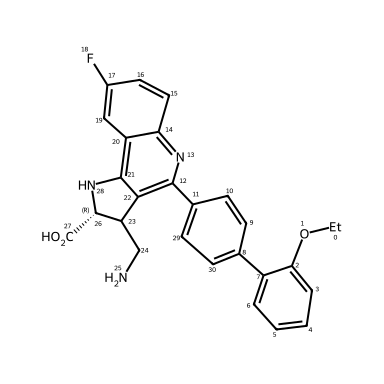 CCOc1ccccc1-c1ccc(-c2nc3ccc(F)cc3c3c2C(CN)[C@H](C(=O)O)N3)cc1